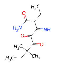 CCC(C(=N)C(=O)C(=O)C(C)(C)CC)C(N)=O